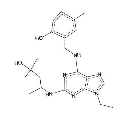 CCn1cnc2c(NCc3cc(C)ccc3O)nc(NC(C)CC(C)(C)O)nc21